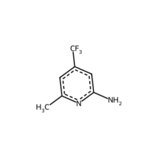 Cc1cc(C(F)(F)F)cc(N)n1